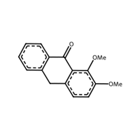 COc1ccc2c(c1OC)C(=O)c1ccccc1C2